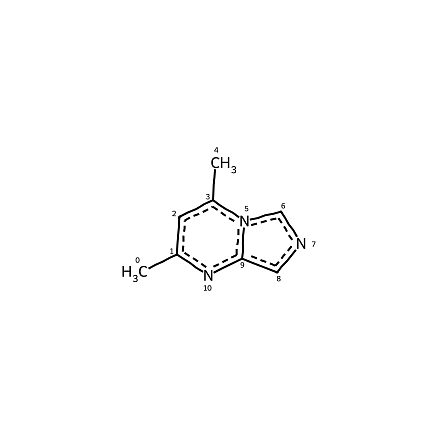 Cc1cc(C)n2cncc2n1